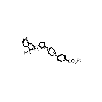 CCOC(=O)c1ccc(N2CCN([C@H]3C=C(c4cc5ncccc5c(=N)[nH]4)CC3)CC2)cc1